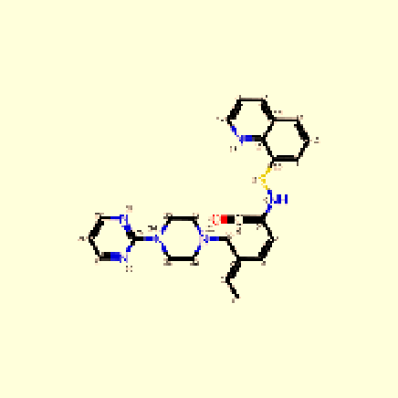 C/C=C(\C=C/C(=C=O)NSc1cccc2cccnc12)CN1CCN(c2ncccn2)CC1